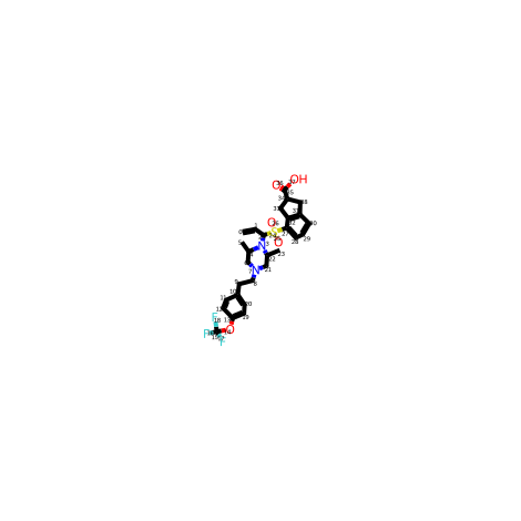 C=CC(N1C(C)CN(CCc2ccc(OC(F)(F)F)cc2)CC1C)S(=O)(=O)c1cccc2c1CC(C(=O)O)C2